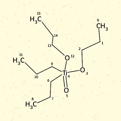 CCC[O][Ti](=[O])([CH2]CC)([CH2]CC)[O]CCC